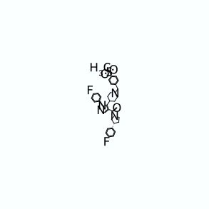 CS(=O)(=O)c1ccc(CN2CCC(c3c(C(=O)N4CC[C@H](c5ccc(F)cc5)C4)cnn3-c3ccc(F)cc3)CC2)cc1